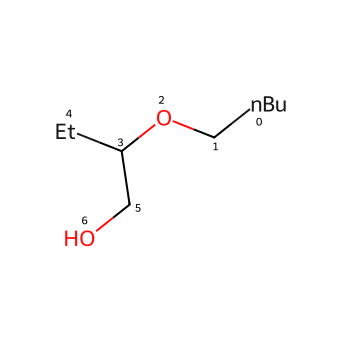 CCCCCOC(CC)CO